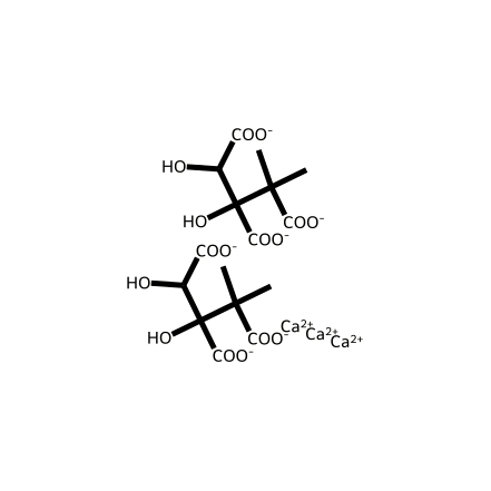 CC(C)(C(=O)[O-])C(O)(C(=O)[O-])C(O)C(=O)[O-].CC(C)(C(=O)[O-])C(O)(C(=O)[O-])C(O)C(=O)[O-].[Ca+2].[Ca+2].[Ca+2]